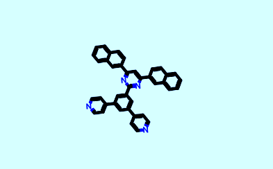 c1ccc2cc(-c3cc(-c4ccc5ccccc5c4)nc(-c4cc(-c5ccncc5)cc(-c5ccncc5)c4)n3)ccc2c1